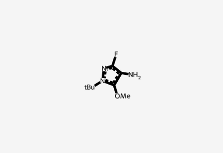 COc1c(N)c(F)nn1C(C)(C)C